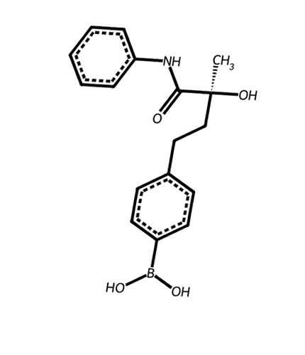 C[C@](O)(CCc1ccc(B(O)O)cc1)C(=O)Nc1ccccc1